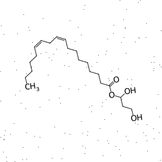 CCCCC/C=C\C/C=C\CCCCCCCC(=O)OC(O)CCO